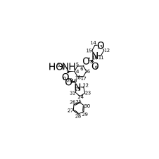 O=C(NO)[C@H]1C[C@H](OC(=O)N2CCOCC2)CC[C@@H]1C(=O)N1CC[C@H](c2ccccc2)C1